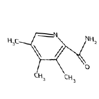 Cc1cnc(C(N)=O)c(C)c1C